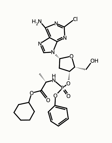 C[C@H](NP(=O)(Oc1ccccc1)O[C@@H]1C[C@H](n2cnc3c(N)nc(Cl)nc32)O[C@@H]1CO)C(=O)OC1CCCCC1